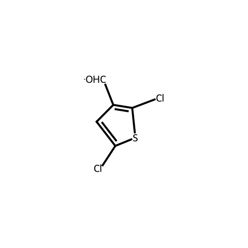 O=[C]c1cc(Cl)sc1Cl